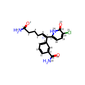 NC(=O)CCC/C=C(\c1cccc(C(N)=O)c1)c1ccc(Cl)c(=O)[nH]1